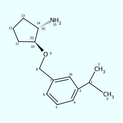 CC(C)c1cccc(CO[C@H]2CCC[C@@H]2N)c1